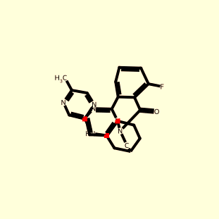 Cc1cnc(NC2CC3CCC2N(C(=O)c2c(F)cccc2-c2ncccn2)C3)cn1